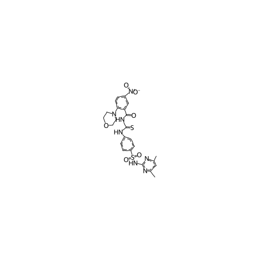 Cc1cc(C)nc(NS(=O)(=O)c2ccc(NC(=S)NC(=O)c3cc([N+](=O)[O-])ccc3N3CCOCC3)cc2)n1